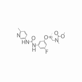 COC(=O)N(C)C[C@@H](C)Oc1cc(F)cc(NC(=O)Nc2ccc(C)nc2)c1